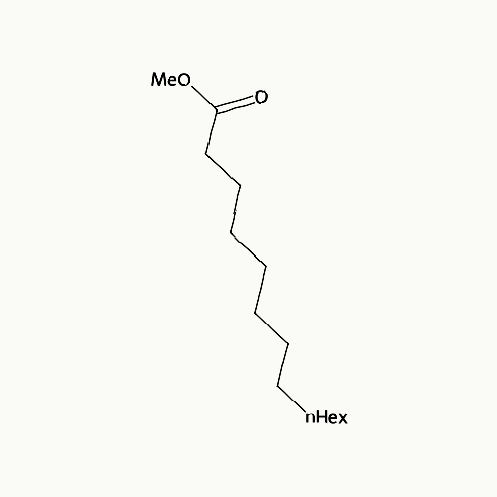 [CH2]OC(=O)CCCCCCCCCCCCC